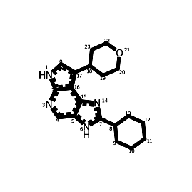 c1[nH]c2ncc3[nH]c(C4CCCCC4)nc3c2c1C1CCOCC1